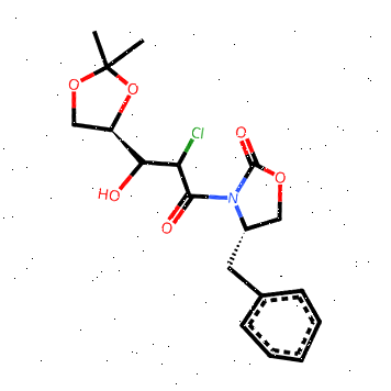 CC1(C)OC[C@H](C(O)C(Cl)C(=O)N2C(=O)OC[C@@H]2Cc2ccccc2)O1